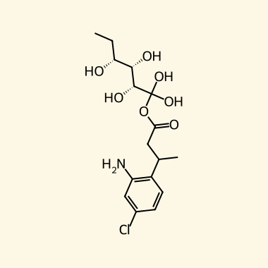 CC[C@@H](O)[C@H](O)[C@@H](O)C(O)(O)OC(=O)CC(C)c1ccc(Cl)cc1N